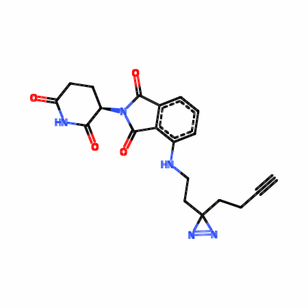 C#CCCC1(CCNc2cccc3c2C(=O)N([C@@H]2CCC(=O)NC2=O)C3=O)N=N1